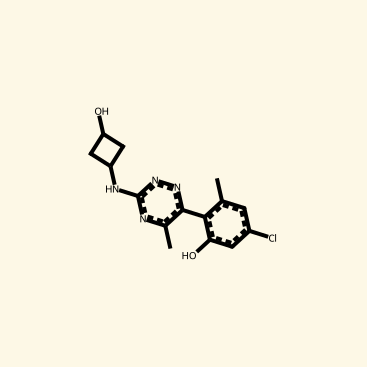 Cc1cc(Cl)cc(O)c1-c1nnc(NC2CC(O)C2)nc1C